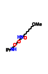 COCCCCCCCCC(=O)NCCOCCOCCNC(C)C